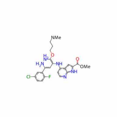 CNCCCO/C(N)=C(/C=C(\N)c1cc(Cl)ccc1F)Nc1ccnc2[nH]c(C(=O)OC)cc12